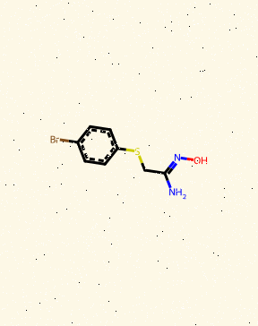 NC(CSc1ccc(Br)cc1)=NO